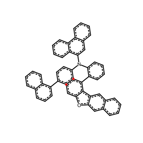 c1ccc(N(c2ccc(-c3cccc4ccccc34)cc2)c2cc3ccccc3c3ccccc23)c(-c2cccc3oc4cc5ccccc5cc4c23)c1